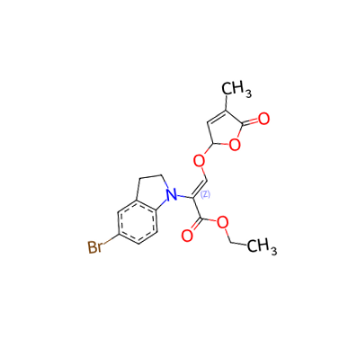 CCOC(=O)/C(=C/OC1C=C(C)C(=O)O1)N1CCc2cc(Br)ccc21